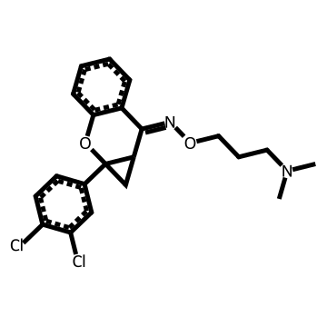 CN(C)CCCON=C1c2ccccc2OC2(c3ccc(Cl)c(Cl)c3)CC12